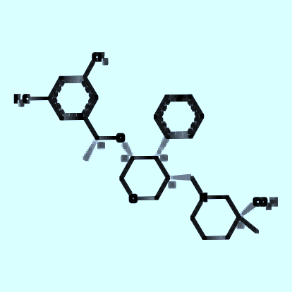 C[C@@H](O[C@H]1COC[C@@H](CN2CCC[C@@](C)(C(=O)O)C2)[C@H]1c1ccccc1)c1cc(C(F)(F)F)cc(C(F)(F)F)c1